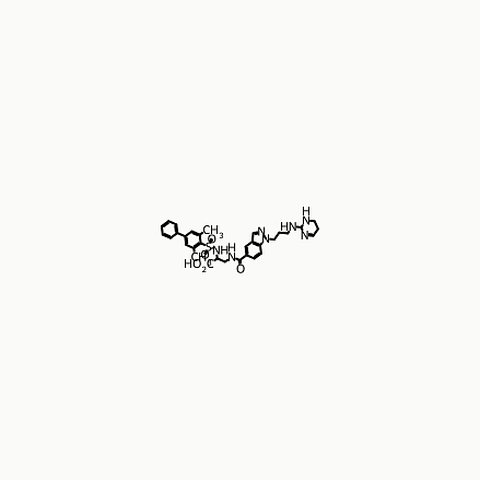 Cc1cc(-c2ccccc2)cc(C)c1S(=O)(=O)NC(CNC(=O)c1ccc2c(cnn2CCCNC2N=CCCN2)c1)C(=O)O